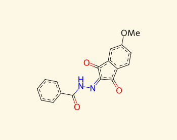 COc1ccc2c(=O)c(=NNC(=O)c3ccccc3)c(=O)c2c1